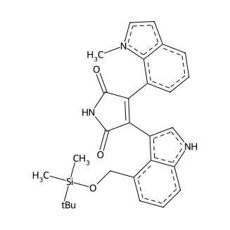 Cn1ccc2cccc(C3=C(c4c[nH]c5cccc(CO[Si](C)(C)C(C)(C)C)c45)C(=O)NC3=O)c21